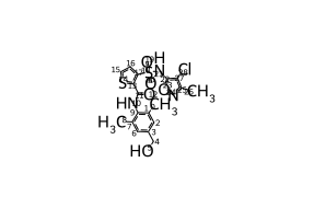 Cc1cc(CO)cc(C)c1NC(=O)c1sccc1S(=O)(=O)Nc1onc(C)c1Cl